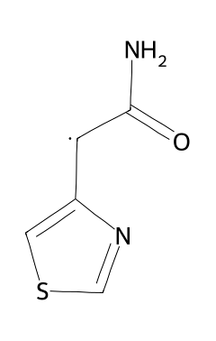 NC(=O)[CH]c1cscn1